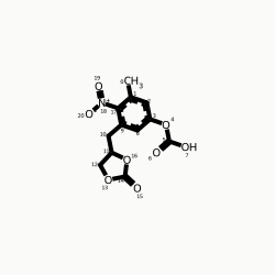 Cc1cc(OC(=O)O)cc(CC2COC(=O)O2)c1[N+](=O)[O-]